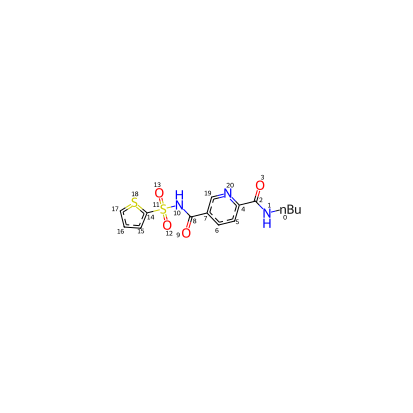 CCCCNC(=O)c1ccc(C(=O)NS(=O)(=O)c2cccs2)cn1